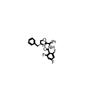 CC(C)C(NC(=O)c1c(F)cc(F)cc1F)C1=N[C@@H](Cc2ccccc2)CO1